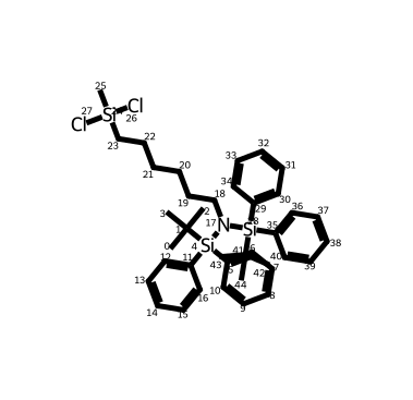 CC(C)(C)[Si](c1ccccc1)(c1ccccc1)N(CCCCCC[Si](C)(Cl)Cl)[Si](c1ccccc1)(c1ccccc1)C(C)(C)C